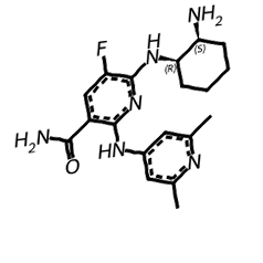 Cc1cc(Nc2nc(N[C@@H]3CCCC[C@@H]3N)c(F)cc2C(N)=O)cc(C)n1